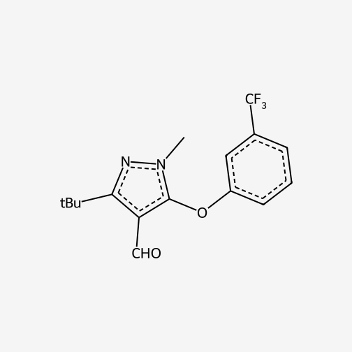 Cn1nc(C(C)(C)C)c(C=O)c1Oc1cccc(C(F)(F)F)c1